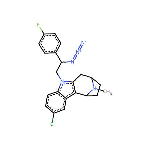 CN1C2CCC1c1c(n(CC(N=[N+]=[N-])c3ccc(F)cc3)c3ccc(Cl)cc13)C2